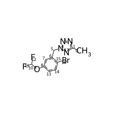 Cc1nnn(Cc2cc(OC(F)F)ccc2Br)n1